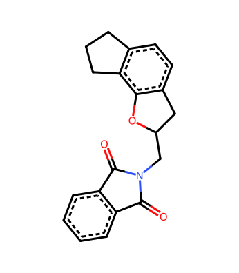 O=C1c2ccccc2C(=O)N1CC1Cc2ccc3c(c2O1)CCC3